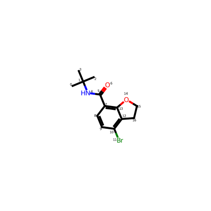 CC(C)(C)NC(=O)c1ccc(Br)c2c1OCC2